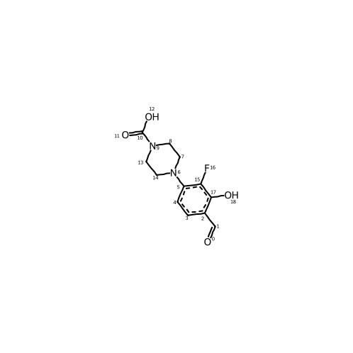 O=Cc1ccc(N2CCN(C(=O)O)CC2)c(F)c1O